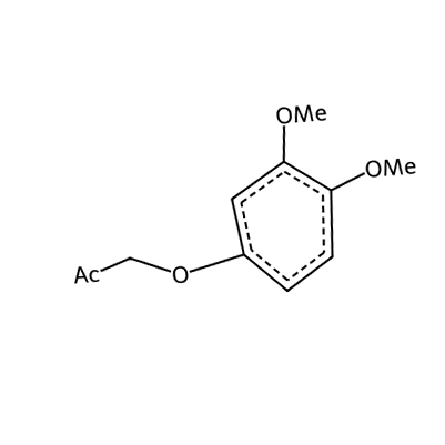 COc1ccc(OCC(C)=O)cc1OC